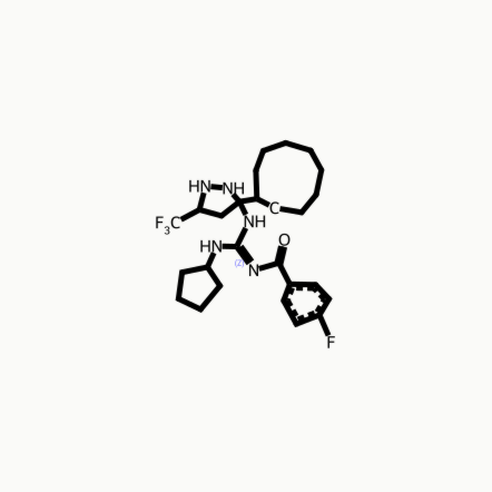 O=C(/N=C(/NC1CCCC1)NC1(C2CCCCCCCC2)CC(C(F)(F)F)NN1)c1ccc(F)cc1